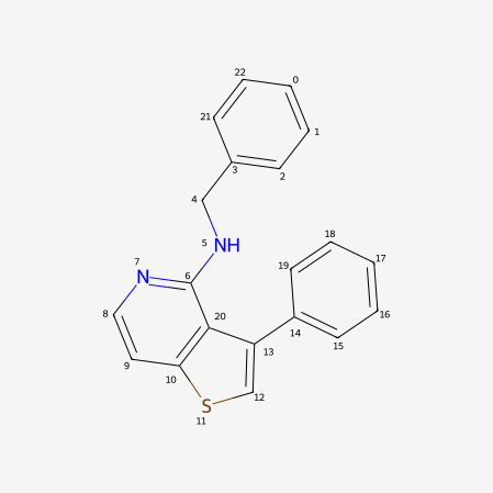 c1ccc(CNc2nccc3scc(-c4ccccc4)c23)cc1